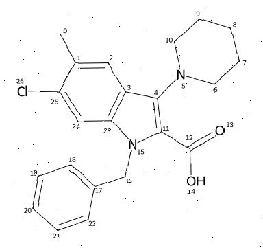 Cc1cc2c(N3CCCCC3)c(C(=O)O)n(Cc3ccccc3)c2cc1Cl